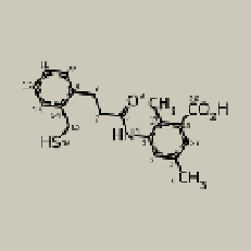 Cc1cc(NC(=O)CCc2ccccc2CS)c(C)c(C(=O)O)c1